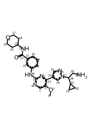 COc1cnc(Nc2cccc(C(=O)NC3CCOCC3)c2)nc1-c1cnn(C(CN)C2CC2)c1